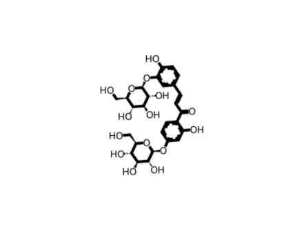 O=C(/C=C/c1ccc(O)c(O[C@@H]2O[C@H](CO)[C@@H](O)[C@H](O)[C@H]2O)c1)c1ccc(O[C@@H]2O[C@H](CO)[C@@H](O)[C@H](O)[C@H]2O)cc1O